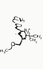 CCOCc1[c]c(COCC)cc(C(C)(C)C)c1